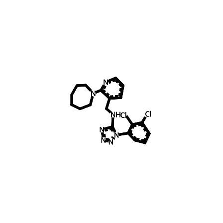 Clc1cccc(-n2nnnc2NCc2cccnc2N2CCCCCC2)c1Cl